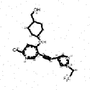 OCC1CCC(Nc2cc(Cl)ncc2C#Cc2cnn(CC(F)(F)F)c2)CC1